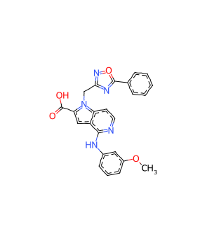 COc1cccc(Nc2nccc3c2cc(C(=O)O)n3Cc2noc(-c3ccccc3)n2)c1